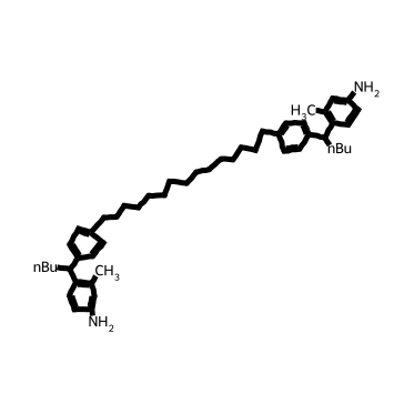 CCCCC(c1ccc(CCCCCCCCCCCCCCCc2ccc(C(CCCC)c3ccc(N)cc3C)cc2)cc1)c1ccc(N)cc1C